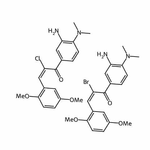 COc1ccc(OC)c(/C=C(/Br)C(=O)c2ccc(N(C)C)c(N)c2)c1.COc1ccc(OC)c(/C=C(/Cl)C(=O)c2ccc(N(C)C)c(N)c2)c1